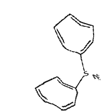 [N].c1ccc(Sc2ccccc2)cc1